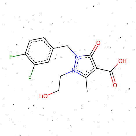 Cc1c(C(=O)O)c(=O)n(Cc2ccc(F)c(F)c2)n1CCO